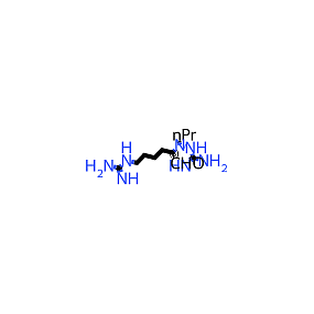 CCCN(NC(=N)N)[C@H]([C]=O)CCCCNC(=N)N